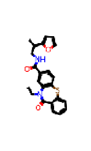 CCN1C(=O)c2ccccc2Sc2ccc(C(=O)NCC(C)c3ccco3)cc21